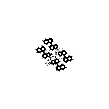 CC1=Cc2c(-c3cccc4ccccc34)cccc2C1[Si](C)(C)C1C(C)=Cc2c(-c3cccc4ccccc34)cccc21.C[Si](C)(C1C=Cc2c(-c3cccc4ccccc34)cccc21)C1C=Cc2c(-c3cccc4ccccc34)cccc21